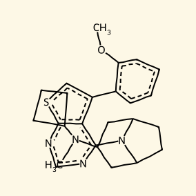 COc1ccccc1-c1csc2ncnc(N3C4CCC3CC(N(C)C3CCC3)C4)c12